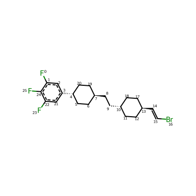 Fc1cc([C@H]2CC[C@H](CC[C@H]3CC[C@H](/C=C/Br)CC3)CC2)cc(F)c1F